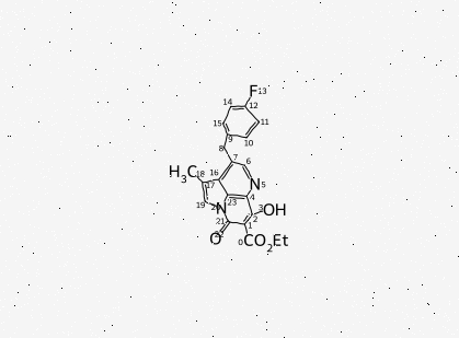 CCOC(=O)c1c(O)c2ncc(Cc3ccc(F)cc3)c3c(C)cn(c1=O)c23